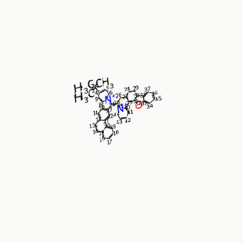 CC(C)(C)c1cc[n+]2c(c1)-c1cc3ccc4ccccc4c3cc1/C2=C1/Cc2ccc3c(oc4ccccc43)c2-c2cccc[n+]21